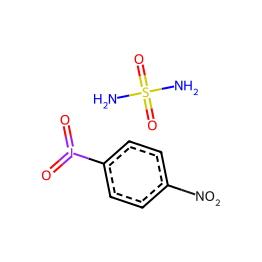 NS(N)(=O)=O.O=[N+]([O-])c1ccc(I(=O)=O)cc1